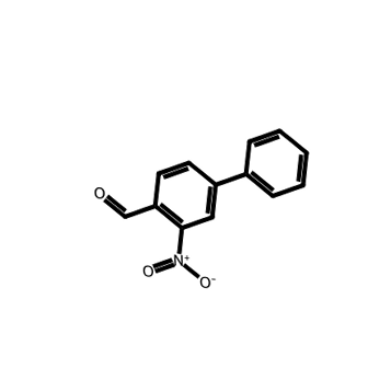 O=Cc1ccc(-c2ccccc2)cc1[N+](=O)[O-]